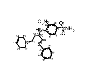 NS(=O)(=O)c1ccc(N[C@H](CCN2CC=CCC2)CSc2ccccc2)c([N+](=O)[O-])c1